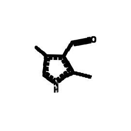 Cc1c[nH]c(C)c1C=O